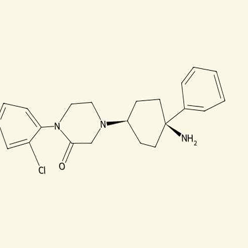 N[C@]1(c2ccccc2)CC[C@H](N2CCN(c3ccccc3Cl)C(=O)C2)CC1